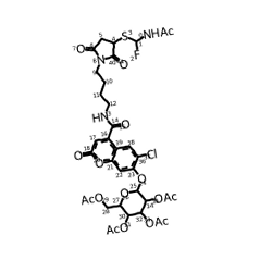 CC(=O)NC(F)SC1CC(=O)N(CCCCNC(=O)c2cc(=O)oc3cc(OC4OC(COC(C)=O)C(OC(C)=O)C(OC(C)=O)C4OC(C)=O)c(Cl)cc23)C1=O